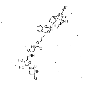 CN1NC1(C1c2cc(ccc2NC(=O)OC(CCCOC(=O)NCC(=O)NCC2OC(n3ccc(=O)[nH]c3=O)C(O)C2O)c2ccccc2)C1CN=[N+]=[N-])C(F)(F)F